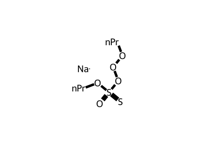 CCCOOOS(=O)(=S)OCCC.[Na]